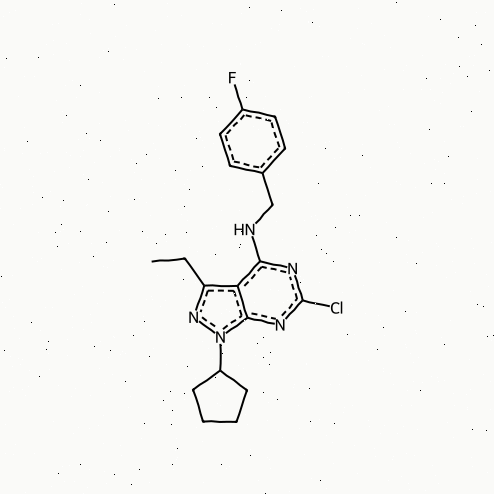 CCc1nn(C2CCCC2)c2nc(Cl)nc(NCc3ccc(F)cc3)c12